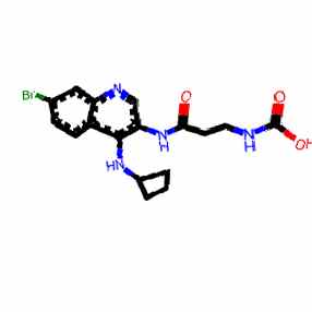 O=C(O)NCCC(=O)Nc1cnc2cc(Br)ccc2c1NC1CCC1